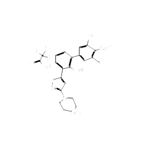 CC(=O)Nc1c(F)cc(-c2cccc(-c3cc(N4CCNCC4)no3)c2O)cc1Cl.O=C(O)C(F)(F)F